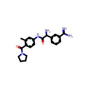 Cc1cc(NC(=O)C(N)c2cccc(C(=N)N)c2)ccc1C(=O)N1CCCC1